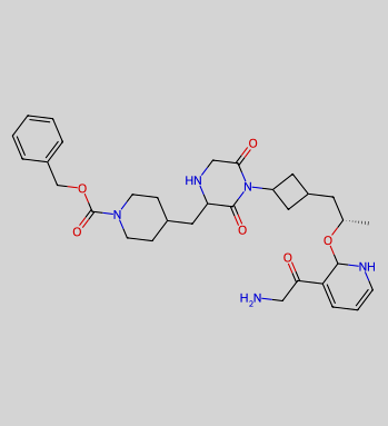 C[C@@H](CC1CC(N2C(=O)CNC(CC3CCN(C(=O)OCc4ccccc4)CC3)C2=O)C1)OC1NC=CC=C1C(=O)CN